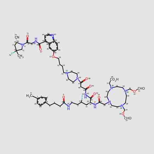 Cc1ccc(CCCC(=O)NCCC(F)C[C@H](NC(=O)CN2CCN(COC=O)CCN(COC=O)CCN(CC(=O)O)CC2)C(=O)NC(=O)CC(=O)N2CCN(CCCCOc3ccc4nccc(C(=O)NCC(=O)N5CC(C)(F)C[C@@H]5C#N)c4c3)CC2)cc1